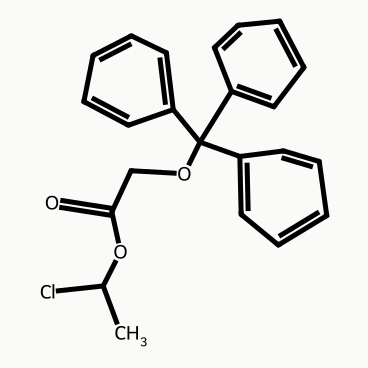 CC(Cl)OC(=O)COC(c1ccccc1)(c1ccccc1)c1ccccc1